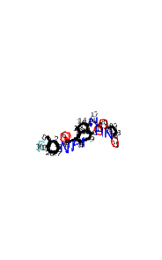 Cc1cc(NC(=O)c2cccc3c2CC[C@@H]3N(C)C(=O)O[C@@H]2CCC(=O)N2)ccc1F